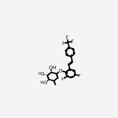 CC1CC(Oc2c(F)cc(F)cc2/C=C/c2ccc(C(F)(F)F)cc2)[C@H](O)[C@@H](O)[C@@H]1O